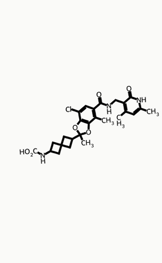 Cc1cc(C)c(CNC(=O)c2cc(Cl)c3c(c2C)OC(C)(C2CC4(CC(NC(=O)O)C4)C2)O3)c(=O)[nH]1